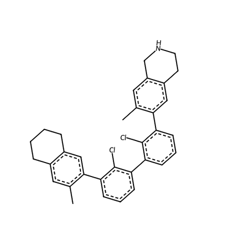 Cc1cc2c(cc1-c1cccc(-c3cccc(-c4cc5c(cc4C)CNCC5)c3Cl)c1Cl)CCCC2